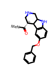 CNC(=O)[C@@H]1CNCC2Nc3ccc(OCc4ccccc4)cc3C21